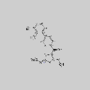 CO/N=C1/CC(CO)N(C(=O)c2ccc(-c3cccc(C#N)c3C)cc2)C1